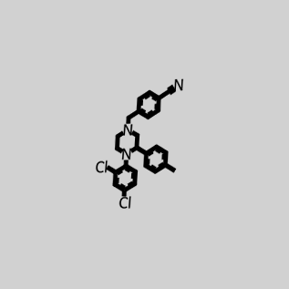 Cc1ccc(C2CN(Cc3ccc(C#N)cc3)CCN2c2ccc(Cl)cc2Cl)cc1